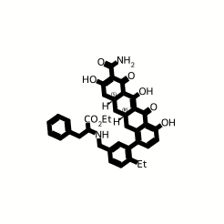 CCOC(=O)C(Cc1ccccc1)NCc1ccc(CC)c(-c2ccc(O)c3c2C[C@H]2C[C@H]4CC(O)=C(C(N)=O)C(=O)C4C(O)=C2C3=O)c1